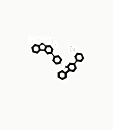 CC1(C)c2ccccc2-c2cc(-c3ccc(-n4c5ccccc5c5ccc(-c6cccc(Br)c6)cc54)cc3)ccc21